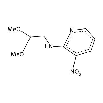 COC(CNc1ncccc1[N+](=O)[O-])OC